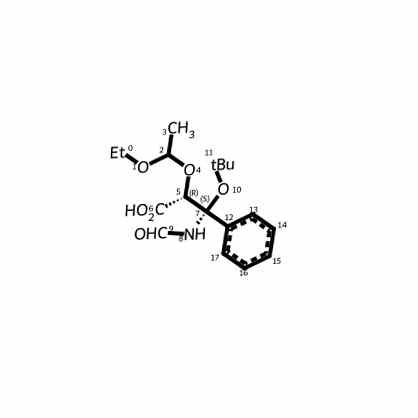 CCOC(C)O[C@@H](C(=O)O)[C@@](NC=O)(OC(C)(C)C)c1ccccc1